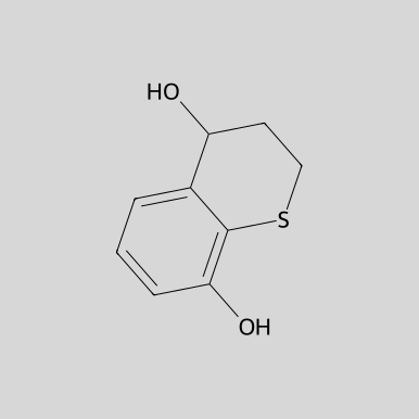 Oc1cccc2c1SCCC2O